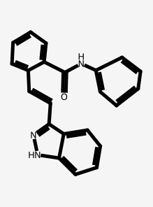 O=C(Nc1ccccc1)c1ccccc1/C=C/c1n[nH]c2ccccc12